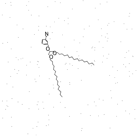 CCCCCCCCCCCCCCCCOCC(COCCCCCCCCCCCCCCCC)OCc1cccc(C#N)c1